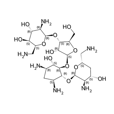 NC[C@@H]1C[C@H](O)[C@@H](N)[C@@H](O[C@H]2[C@H](O[C@@H]3O[C@H](CO)[C@@H](O[C@H]4O[C@@H](CN)[C@@H](O)[C@H](O)[C@H]4N)[C@H]3O)[C@@H](O)[C@H](N)C[C@@H]2N)O1